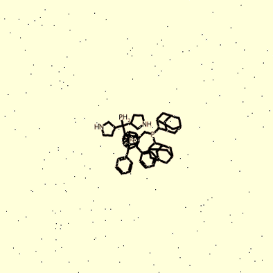 PC(C1CCNC1)(C1CCNC1)[C]12[CH]3[C]4(c5ccccc5)[C]5(c6ccccc6)[C]1(CP(C1C6CC7CC(C6)CC1C7)C1C6CC7CC(C6)CC1C7)[Fe]34521678[CH]2[CH]1[CH]6[CH]7[CH]28